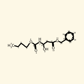 CCCCOC(=O)NC(O)CC(=O)OCc1ccccc1